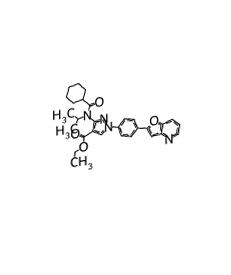 CCOC(=O)c1cn(-c2ccc(-c3cc4ncccc4o3)cc2)nc1N(C(=O)C1CCCCC1)C(C)C